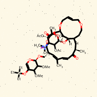 CC[Si](CC)(CC)OC1=CO[C@@H](OC[C@H]2/C=C(C)/C=C/C(=O)[C@H](C)C[C@@H]3CCOC/C=C/CO[C@H](CC(=O)O[C@@H]2I)[C@H](C)[C@H]3O[C@@H]2OC(C)[C@@H](OC(C)=O)C(N(C)C)C2OC(C)=O)C(OC)C1OC